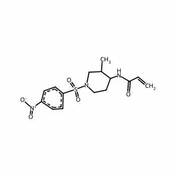 C=CC(=O)NC1CCN(S(=O)(=O)c2ccc([N+](=O)[O-])cc2)CC1C